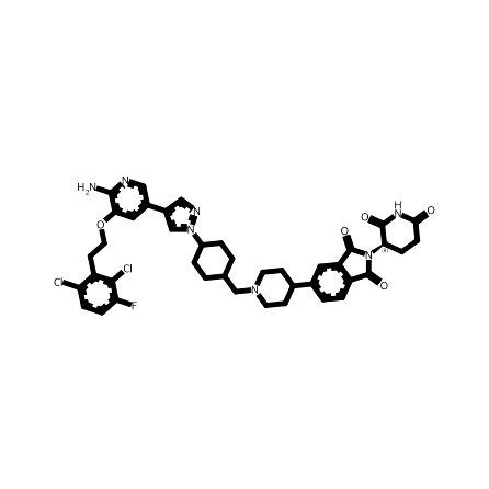 Nc1ncc(-c2cnn(C3CCC(CN4CCC(c5ccc6c(c5)C(=O)N([C@@H]5CCC(=O)NC5=O)C6=O)CC4)CC3)c2)cc1OCCc1c(Cl)ccc(F)c1Cl